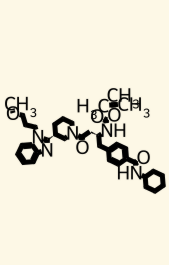 COCCCn1c([C@@H]2CCCN(C(=O)C[C@@H](Cc3ccc(C(=O)NC4CCCCC4)cc3)NC(=O)OC(C)(C)C)C2)nc2ccccc21